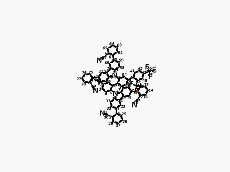 N#Cc1ccc(-n2c3ccc(-c4ccccc4C#N)cc3c3cc(-c4ccccc4C#N)ccc32)c(-c2ccc(-c3ccc(C(F)(F)F)cc3C(F)(F)F)cc2-n2c3ccc(-c4ccccc4C#N)cc3c3cc(-c4ccccc4C#N)ccc32)c1